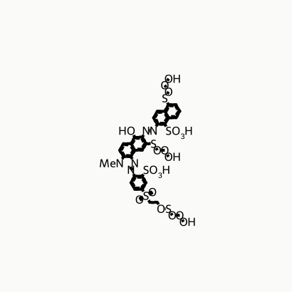 CNc1ccc2c(O)c(/N=N/c3ccc4c(SOOO)cccc4c3S(=O)(=O)O)c(SOOO)cc2c1/N=N/c1ccc(S(=O)(=O)CCOSOOO)cc1S(=O)(=O)O